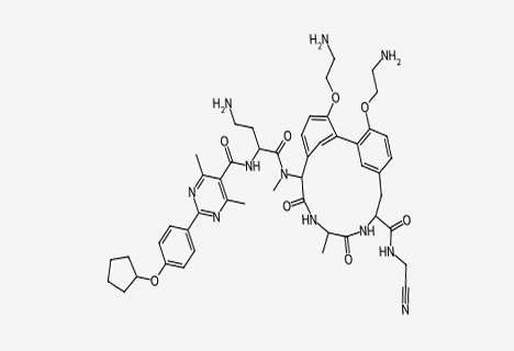 Cc1nc(-c2ccc(OC3CCCC3)cc2)nc(C)c1C(=O)NC(CCN)C(=O)N(C)C1C(=O)NC(C)C(=O)NC(C(=O)NCC#N)Cc2ccc(OCCN)c(c2)-c2cc1ccc2OCCN